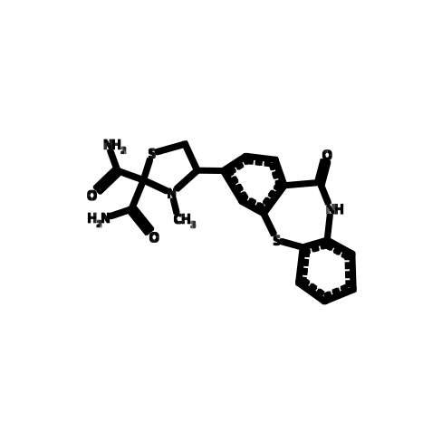 CN1C(c2ccc3c(c2)Sc2ccccc2NC3=O)CSC1(C(N)=O)C(N)=O